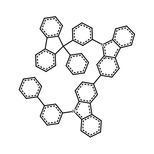 c1ccc(-c2cccc(-n3c4ccccc4c4cc(-c5ccc6c7ccccc7n(-c7cccc(C8(c9ccccc9)c9ccccc9-c9ccccc98)c7)c6c5)ccc43)c2)cc1